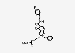 COC(=O)CCCC[C@@H]1C=C2C(=O)C(C(=O)NCCc3ccc(F)cc3)C=CC2=CN1Cc1ccccc1